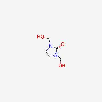 O=C1N(CO)CCN1CO